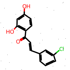 O=C(/C=C/c1cccc(Cl)c1)c1ccc(O)cc1O